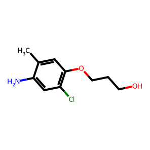 Cc1cc(OCCCO)c(Cl)cc1N